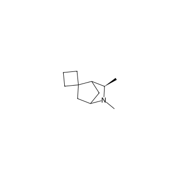 C[C@@H]1C2CC(CC23CCC3)N1C